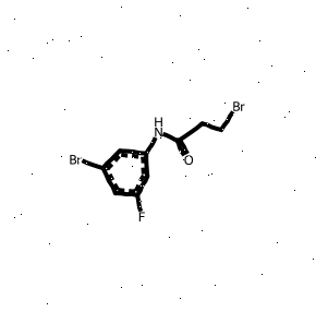 O=C(CCBr)Nc1cc(F)cc(Br)c1